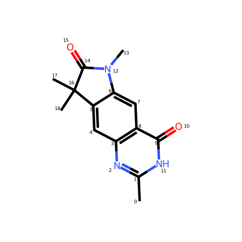 Cc1nc2cc3c(cc2c(=O)[nH]1)N(C)C(=O)C3(C)C